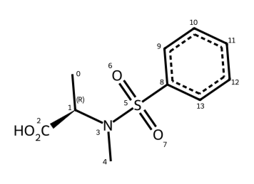 C[C@H](C(=O)O)N(C)S(=O)(=O)c1ccccc1